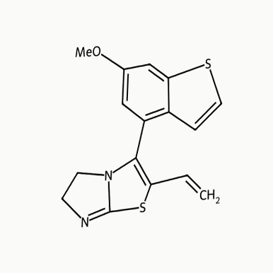 C=CC1=C(c2cc(OC)cc3sccc23)N2CCN=C2S1